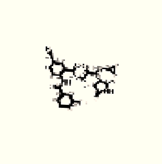 C[C@@H]1C[C@@H](C[C@H](NC(=O)c2cc(C#N)ccc2NC(=O)c2cccc(F)c2)C(=O)C(=O)NC2CC2)C(=O)N1